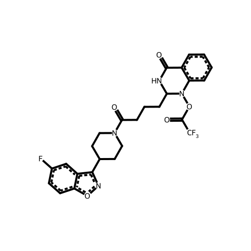 O=C1NC(CCCC(=O)N2CCC(c3noc4ccc(F)cc34)CC2)N(OC(=O)C(F)(F)F)c2ccccc21